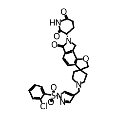 O=C1CC[C@H](N2Cc3c(ccc4c3OCC43CCN(Cc4cnn(S(=O)(=O)c5ccccc5Cl)c4)CC3)C2=O)C(=O)N1